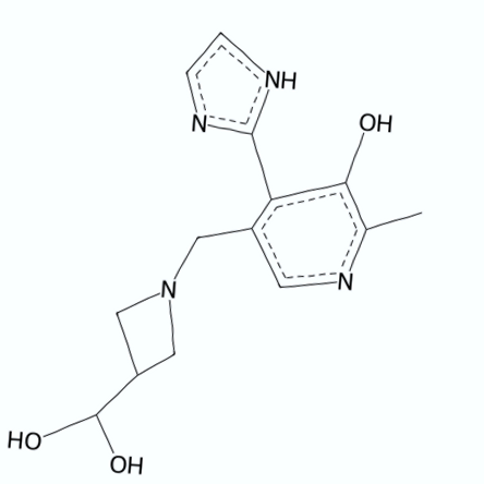 Cc1ncc(CN2CC(C(O)O)C2)c(-c2ncc[nH]2)c1O